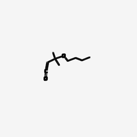 CCCCOC(C)(C)C=C=O